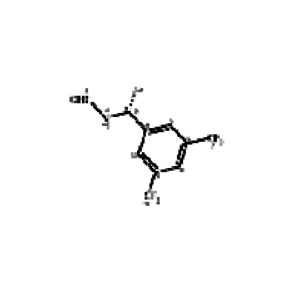 C[C@@H](NC=O)c1cc(C(F)(F)F)cc(C(F)(F)F)c1